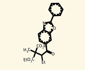 CCOC(=O)C(C)(C(=O)OCC)C(CC)C(=O)c1ccc2nc(-c3ccccc3)oc2c1